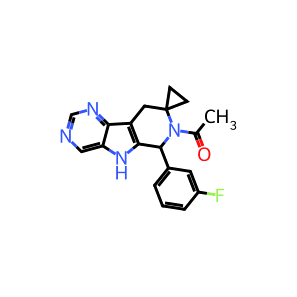 CC(=O)N1C(c2cccc(F)c2)c2[nH]c3cncnc3c2CC12CC2